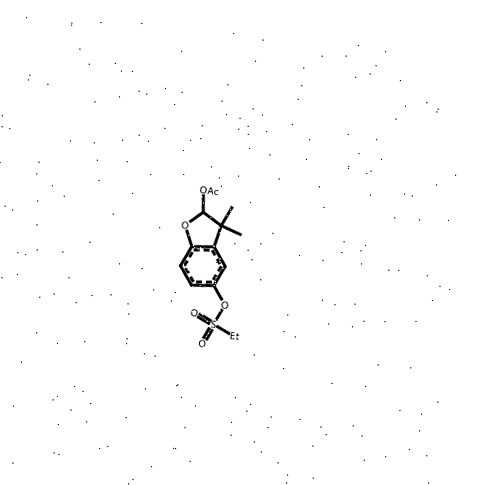 CCS(=O)(=O)Oc1ccc2c(c1)C(C)(C)C(OC(C)=O)O2